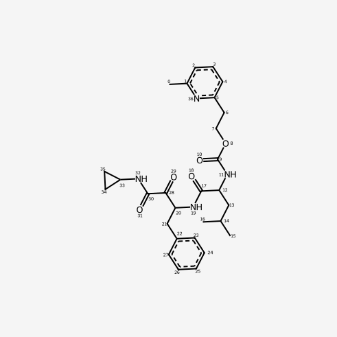 Cc1cccc(CCOC(=O)NC(CC(C)C)C(=O)NC(Cc2ccccc2)C(=O)C(=O)NC2CC2)n1